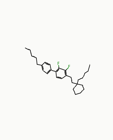 CCCCCc1ccc(-c2ccc(CCC3(CCCCC)CCCCC3)c(F)c2F)cc1